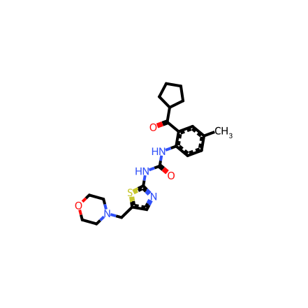 Cc1ccc(NC(=O)Nc2ncc(CN3CCOCC3)s2)c(C(=O)C2CCCC2)c1